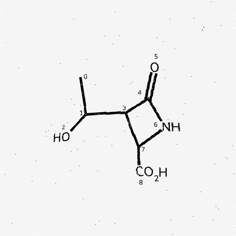 CC(O)C1C(=O)NC1C(=O)O